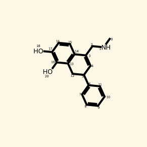 CNCC1=CC(c2ccccc2)Cc2c1ccc(O)c2O